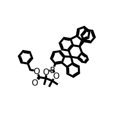 CC1(C)OB(c2cccc3c2-c2ccccc2C32c3ccccc3C3(c4ccccc4)c4ccccc4-c4cccc2c43)OC1(C)C(=O)OCc1ccccc1